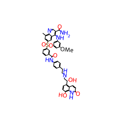 COc1cccc(Nc2c(C(N)=O)cnc3c(C)cc(S(=O)(=O)c4cccc(C(=O)Nc5ccc(CCNC[C@H](O)c6ccc(O)c7[nH]c(=O)ccc67)cc5)c4)cc23)c1